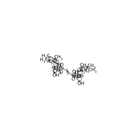 CC(C)[C@@H](C)/C=C/[C@@H](C)[C@H]1CC[C@H]2C34C=CC5(C[C@@H](O)CC[C@]5(C)[C@H]3CC[C@]12C)n1c(=O)n(CCSSCCn2c(=O)n3n(c2=O)C25C=CC36[C@@H]3CC[C@H]([C@H](C)/C=C/[C@H](C)C(C)C)[C@@]3(C)CC[C@@H]6[C@@]2(C)CC[C@H](O)C5)c(=O)n14